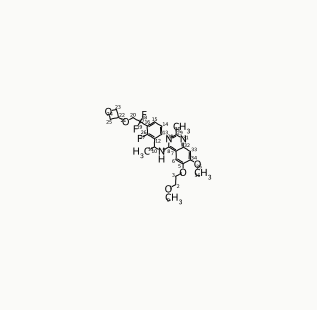 COCCOc1cc2c(NC(C)c3cccc(C(F)(F)COC4COC4)c3F)nc(C)nc2cc1OC